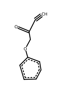 C#CC(=O)COc1ccccc1